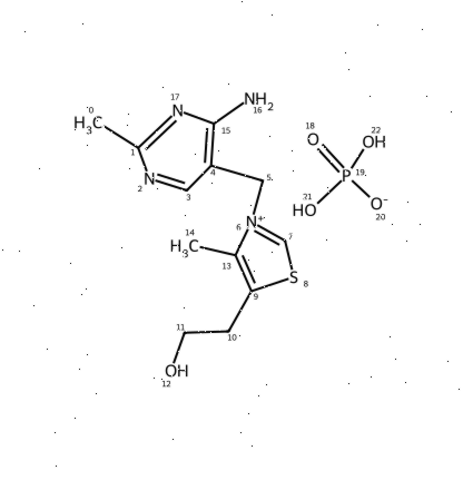 Cc1ncc(C[n+]2csc(CCO)c2C)c(N)n1.O=P([O-])(O)O